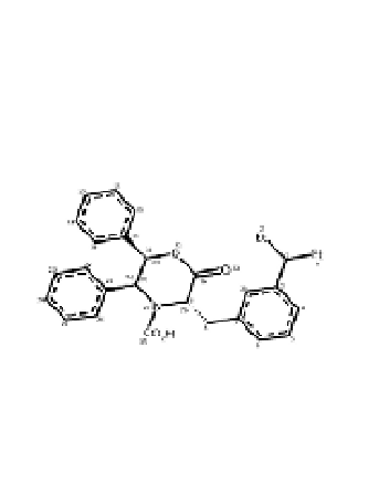 CCC(CC)c1cccc(C[C@H]2C(=O)O[C@H](c3ccccc3)[C@H](c3ccccc3)N2C(=O)O)c1